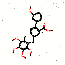 COC(=O)c1cc(Cc2c(C)c(OC)c(OC)c(OC)c2OC)ccc1-c1cccc(OC)c1